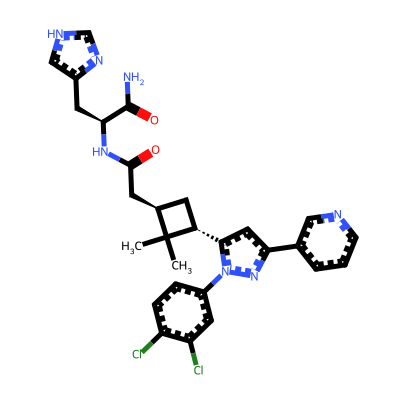 CC1(C)[C@@H](CC(=O)N[C@@H](Cc2c[nH]cn2)C(N)=O)C[C@@H]1c1cc(-c2cccnc2)nn1-c1ccc(Cl)c(Cl)c1